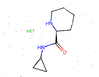 Cl.O=C(NC1CC1)[C@@H]1CCCCN1